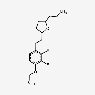 CCCC1CCC(CCc2ccc(OCC)c(F)c2F)O1